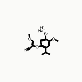 COC=C(C#N)Oc1cc(Br)c(OC)cc1C(C)C.[H-].[Na+]